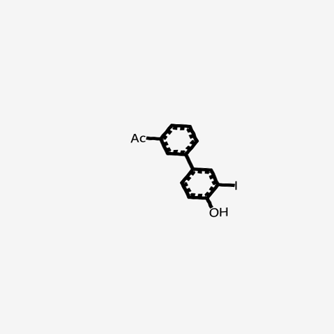 CC(=O)c1cccc(-c2ccc(O)c(I)c2)c1